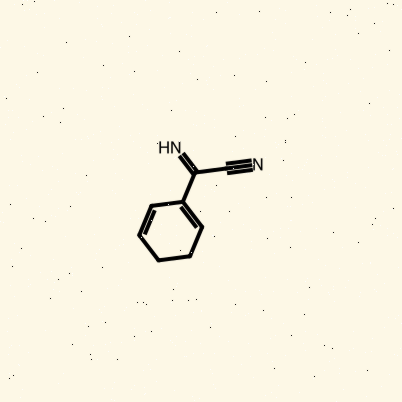 N#CC(=N)C1=CCCC=C1